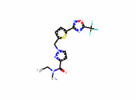 CCN(C)C(=O)c1ccn(Cc2ccc(-c3noc(C(F)(F)F)n3)s2)n1